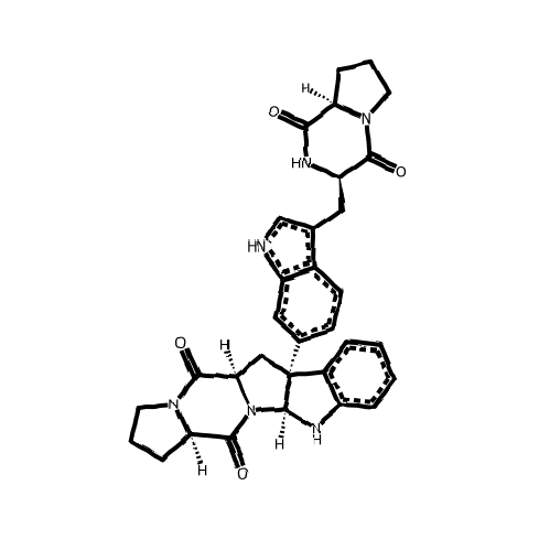 O=C1N[C@H](Cc2c[nH]c3cc([C@@]45C[C@@H]6C(=O)N7CCC[C@@H]7C(=O)N6[C@@H]4Nc4ccccc45)ccc23)C(=O)N2CCC[C@H]12